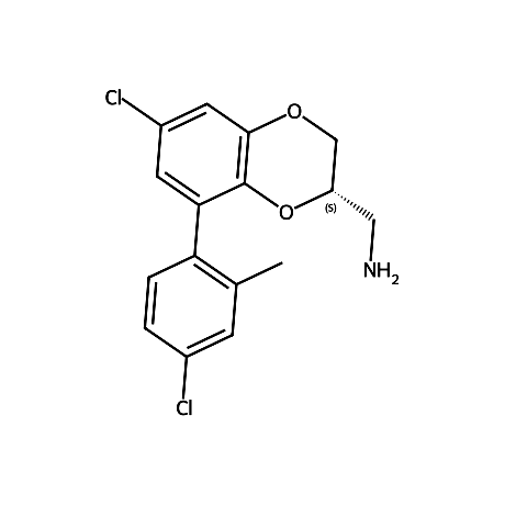 Cc1cc(Cl)ccc1-c1cc(Cl)cc2c1O[C@@H](CN)CO2